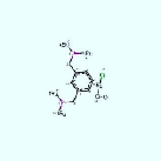 CC(C)(C)P(Cc1cccc(CP(C(C)(C)C)C(C)(C)C)c1)C(C)(C)C.O=[CH][Ru][Cl]